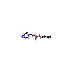 CCCCCCCCCC(=O)OCCN1CCNCC1